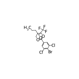 CCCC12COC(c3cc(Cl)c(Br)c(Cl)c3)(OC1)OC2C(F)(F)F